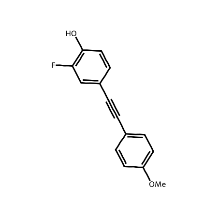 COc1ccc(C#Cc2ccc(O)c(F)c2)cc1